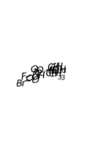 CC(C)(CC[C@@H]1OC(=O)N2c3cc(F)c(Br)cc3OC[C@@H]12)[Si](C)(C)O